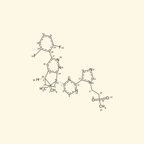 CC1(C)[C@H]2CC[C@]1(c1ccnc(-c3cncn3CCS(C)(=O)=O)n1)c1nnc(-c3c(F)cccc3F)cc12